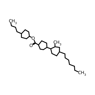 CCCCCCCC1CCC(C2CCC(C(=O)OC3CCC(CCCC)CC3)CC2)C(C)C1